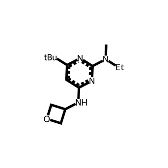 CCN(C)c1nc(NC2COC2)cc(C(C)(C)C)n1